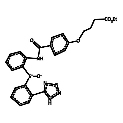 CCOC(=O)CCCOc1ccc(C(=O)Nc2ccccc2[S+]([O-])c2ccccc2-c2nnn[nH]2)cc1